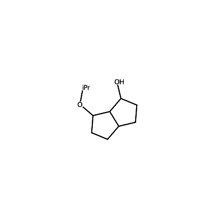 CC(C)OC1CCC2CCC(O)C21